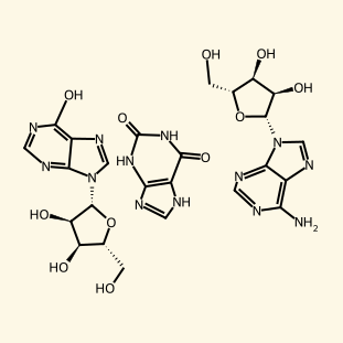 Nc1ncnc2c1ncn2[C@@H]1O[C@H](CO)[C@@H](O)[C@H]1O.O=c1[nH]c(=O)c2[nH]cnc2[nH]1.OC[C@H]1O[C@@H](n2cnc3c(O)ncnc32)[C@H](O)[C@@H]1O